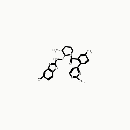 Cc1ccc(-c2ccnc(C)n2)c(C(=O)N2CCC[C@@H](C)[C@H]2CNc2nc3cc(Cl)ccc3o2)c1